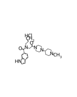 C=CCN(CC(=O)N1CCN(C2CCN(C)CC2)CC1)C(=O)c1ccc2cc[nH]c2c1.Cl